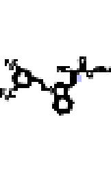 CC(C)(C)OC(=O)/C(C#N)=C/c1cn(CCc2cc(C(F)(F)F)cc(C(F)(F)F)c2)c2ccccc12